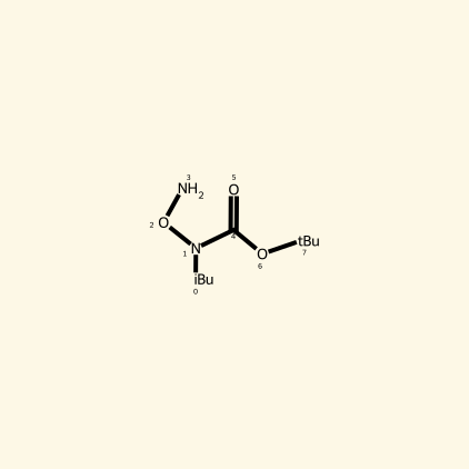 CCC(C)N(ON)C(=O)OC(C)(C)C